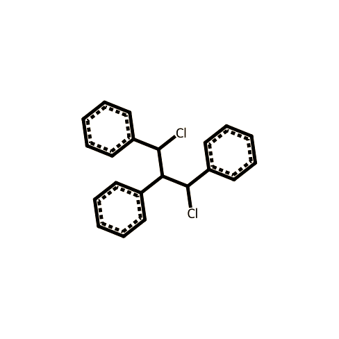 ClC(c1ccccc1)C(c1ccccc1)C(Cl)c1ccccc1